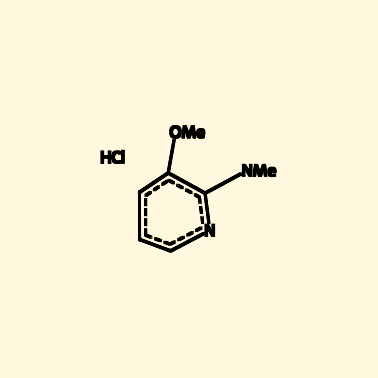 CNc1ncccc1OC.Cl